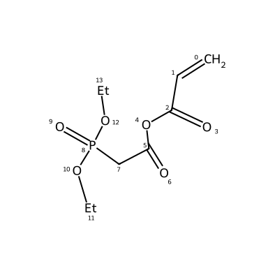 C=CC(=O)OC(=O)CP(=O)(OCC)OCC